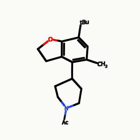 CC(=O)N1CCC(c2c(C)cc(C(C)(C)C)c3c2CCO3)CC1